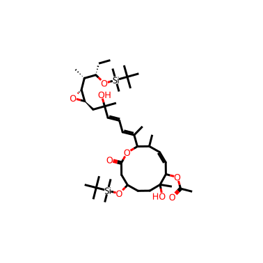 CC[C@H](O[Si](C)(C)C(C)(C)C)[C@@H](C)[C@H]1O[C@@H]1CC(C)(O)/C=C/C=C(\C)C1OC(=O)CC(O[Si](C)(C)C(C)(C)C)CCC(C)(O)C(OC(C)=O)C=CC1C